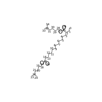 CCC(CCCCCCCCCCCCC(=O)OCCCCC(C)C)C(=O)OCCCCC(C)C